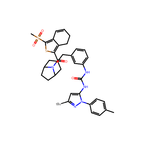 Cc1ccc(-n2nc(C(C)(C)C)cc2NC(=O)Nc2cccc(CC3CC4CCC(C3)N4C(=O)c3sc(S(C)(=O)=O)c4c3CCC=C4)c2)cc1